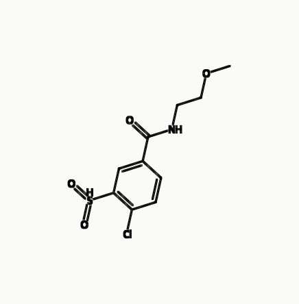 COCCNC(=O)c1ccc(Cl)c([SH](=O)=O)c1